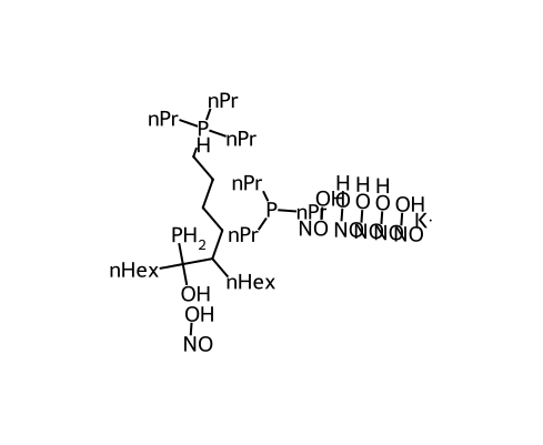 CCCCCCC(CCCC[PH](CCC)(CCC)CCC)C(O)(P)CCCCCC.CCCP(CCC)CCC.O=NO.O=NO.O=NO.O=NO.O=NO.O=NO.[K]